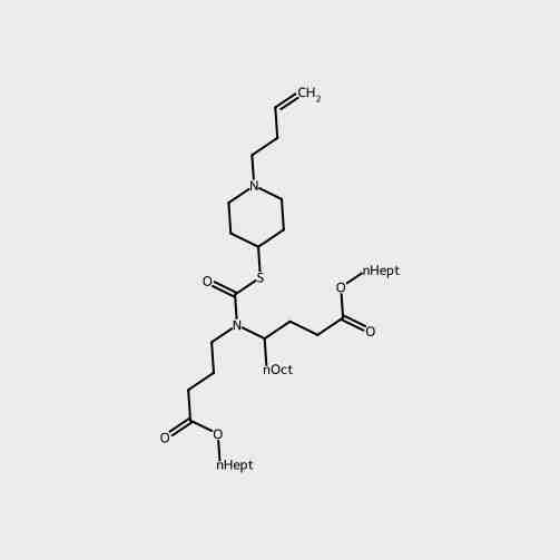 C=CCCN1CCC(SC(=O)N(CCCC(=O)OCCCCCCC)C(CCCCCCCC)CCC(=O)OCCCCCCC)CC1